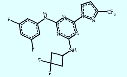 Fc1cc(F)cc(Nc2nc(NC3CC(F)(F)C3)nc(-n3ccc(C(F)(F)F)n3)n2)c1